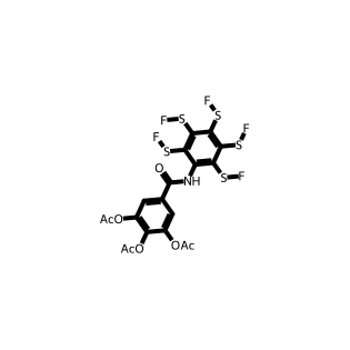 CC(=O)Oc1cc(C(=O)Nc2c(SF)c(SF)c(SF)c(SF)c2SF)cc(OC(C)=O)c1OC(C)=O